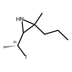 CCCC1(C)NC1[C@@H](C)I